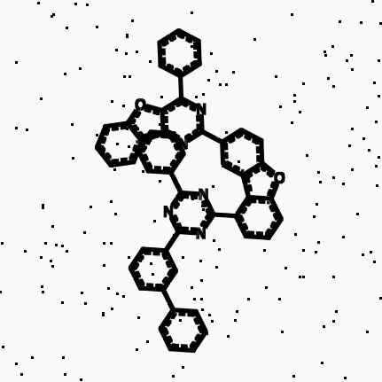 c1ccc(-c2cccc(-c3nc(-c4ccccc4)nc(-c4cccc5oc6ccc(-c7nc(-c8ccccc8)c8oc9ccccc9c8n7)cc6c45)n3)c2)cc1